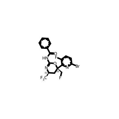 O=C(NC1=N[C@H](C(F)(F)F)C[C@@](CF)(c2nc(Br)ccc2F)O1)c1ccccc1